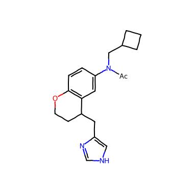 CC(=O)N(CC1CCC1)c1ccc2c(c1)C(Cc1c[nH]cn1)CCO2